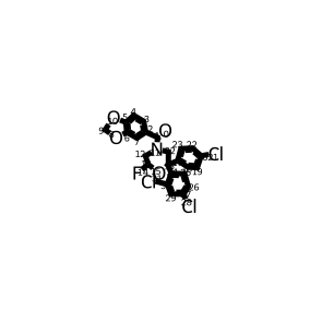 O=C(c1ccc2c(c1)OCO2)N1CC(F)OC(c2ccc(Cl)cc2)(c2ccc(Cl)cc2Cl)C1